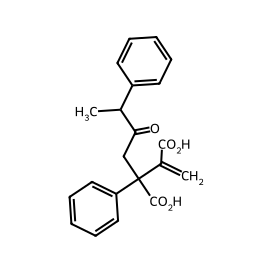 C=C(C(=O)O)C(CC(=O)C(C)c1ccccc1)(C(=O)O)c1ccccc1